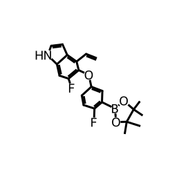 C=Cc1c(Oc2ccc(F)c(B3OC(C)(C)C(C)(C)O3)c2)c(F)cc2[nH]ccc12